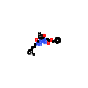 CCCCCCNC(=O)N[C@@H](C)C(=O)NCC(=O)OCc1ccccc1